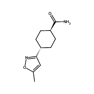 Cc1cc([C@H]2CC[C@H](C(N)=O)CC2)no1